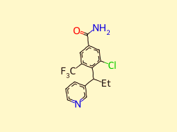 [CH2]CC(c1cccnc1)c1c(Cl)cc(C(N)=O)cc1C(F)(F)F